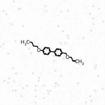 C=CCOCc1ccc(-c2ccc(OCCCC)cc2)cc1